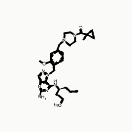 CCC[C@@H](CCO)Nc1nc(N)nc2cnn(Cc3ccc(CN4CCN(C(=O)C5(C)CC5)CC4)cc3OC)c12